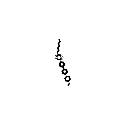 CCCCCCC[C@H]1CO[C@H](c2ccc(-c3ccc([C@H]4CC[C@H](CC)CC4)cc3)cc2)CO1